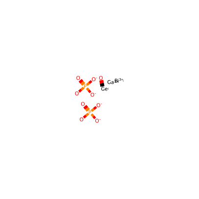 O=P([O-])([O-])[O-].O=P([O-])([O-])[O-].[Bi+3].[Ga+3].[O]=[Ge]